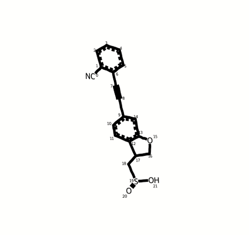 N#Cc1ccccc1C#Cc1ccc2c(c1)OCC2CS(=O)O